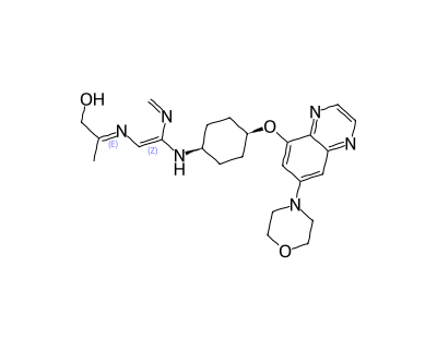 C=N/C(=C\N=C(/C)CO)N[C@H]1CC[C@@H](Oc2cc(N3CCOCC3)cc3nccnc23)CC1